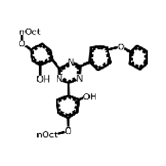 CCCCCCCCOc1ccc(-c2nc(-c3ccc(Oc4ccccc4)cc3)nc(-c3ccc(OCCCCCCCC)cc3O)n2)c(O)c1